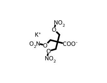 O=C([O-])C(CO[N+](=O)[O-])(CO[N+](=O)[O-])CO[N+](=O)[O-].[K+]